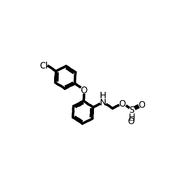 O=[SH](=O)OCNc1ccccc1Oc1ccc(Cl)cc1